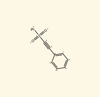 CC(C)S(=O)(=O)C#Cc1ccccc1